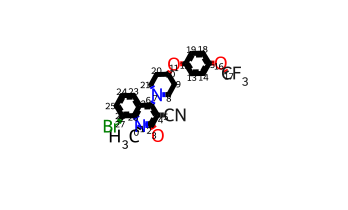 Cn1c(=O)c(C#N)c(N2CCC(Oc3ccc(OC(F)(F)F)cc3)CC2)c2cccc(Br)c21